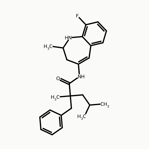 CC(C)CC(C)(Cc1ccccc1)C(=O)NC1=Cc2cccc(F)c2NC(C)C1